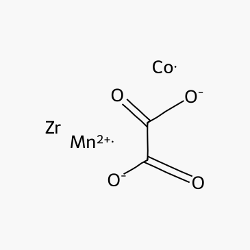 O=C([O-])C(=O)[O-].[Co].[Mn+2].[Zr]